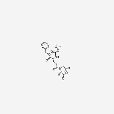 CC(C)(C)OC(=O)N[C@@H](CCC(=O)N1C[C@H]2C[C@@H]1C(=O)O2)C(=O)OCc1ccccc1